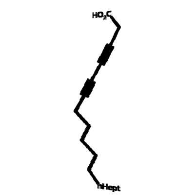 CCCCCCCCCCCCC#CC#CCC(=O)O